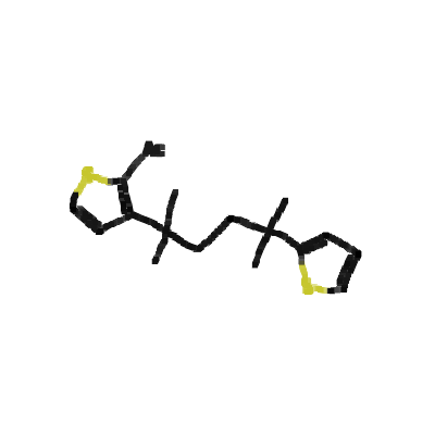 CC(=O)c1sccc1C(C)(C)CCC(C)(C)c1cccs1